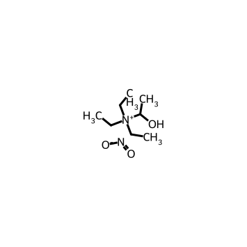 CC[N+](CC)(CC)C(C)O.O=N[O-]